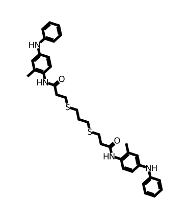 Cc1cc(Nc2ccccc2)ccc1NC(=O)CCSCCCSCCC(=O)Nc1ccc(Nc2ccccc2)cc1C